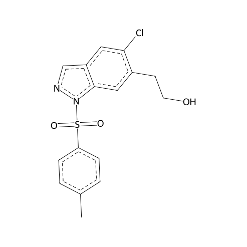 Cc1ccc(S(=O)(=O)n2ncc3cc(Cl)c(CCO)cc32)cc1